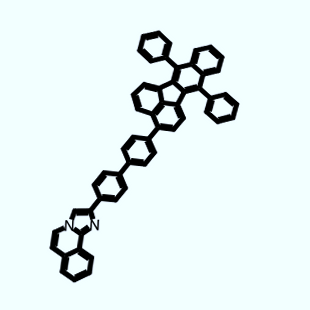 c1ccc(-c2c3c(c(-c4ccccc4)c4ccccc24)-c2ccc(-c4ccc(-c5ccc(-c6cn7ccc8ccccc8c7n6)cc5)cc4)c4cccc-3c24)cc1